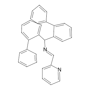 C(=N\C(c1ccccc1-c1ccccc1)c1ccccc1-c1ccccc1)/c1ccccn1